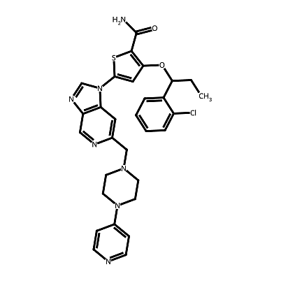 CCC(Oc1cc(-n2cnc3cnc(CN4CCN(c5ccncc5)CC4)cc32)sc1C(N)=O)c1ccccc1Cl